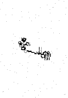 O=C(O)N(C(c1ccsc1)c1cccc(OCCCCCCNCC(O)c2ccc(O)c3[nH]c(=O)ccc23)c1)C1CN2CCC1CC2